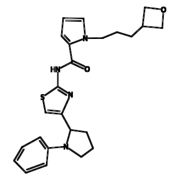 O=C(Nc1nc(C2CCCN2c2ccccc2)cs1)c1cccn1CCCC1COC1